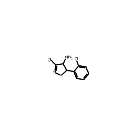 NC1C(Cl)=NSC1c1ccccc1Cl